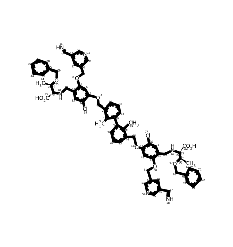 Cc1c(COc2cc(OCc3cncc(C=N)c3)c(CN[C@H](C(=O)O)[C@@H](C)OCc3ccccc3)cc2Cl)cccc1-c1cccc(COc2cc(OCc3cncc(C=N)c3)c(CN[C@H](C(=O)O)[C@@H](C)OCc3ccccc3)cc2Cl)c1C